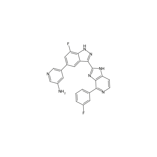 Nc1cncc(-c2cc(F)c3[nH]nc(-c4nc5c(-c6cccc(F)c6)nccc5[nH]4)c3c2)c1